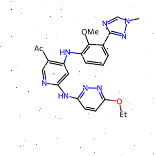 CCOc1ccc(Nc2cc(Nc3cccc(-c4ncn(C)n4)c3OC)c(C(C)=O)cn2)nn1